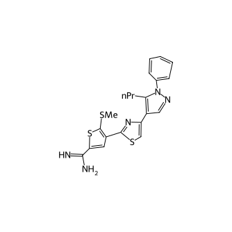 CCCc1c(-c2csc(-c3cc(C(=N)N)sc3SC)n2)cnn1-c1ccccc1